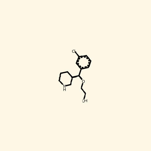 OCCOC(c1cccc(Cl)c1)C1CCCNC1